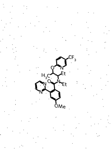 CCC(C(C)Oc1ccc(C(F)(F)F)cn1)N(CC)C(=O)c1ccc(OC)cc1-c1ncccn1